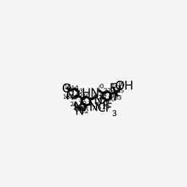 C[C@@H](Nc1nc(C(F)(F)F)nc2c1cc(-c1ccc(=O)n(C)c1)c1c2cnn1C)c1cc(F)cc(C(F)(F)CO)c1